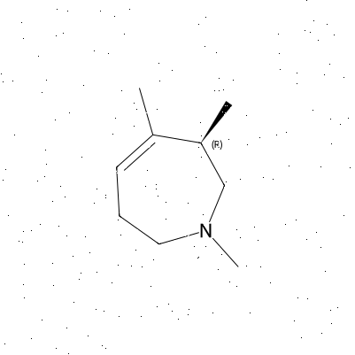 CC1=CCCN(C)C[C@@H]1C